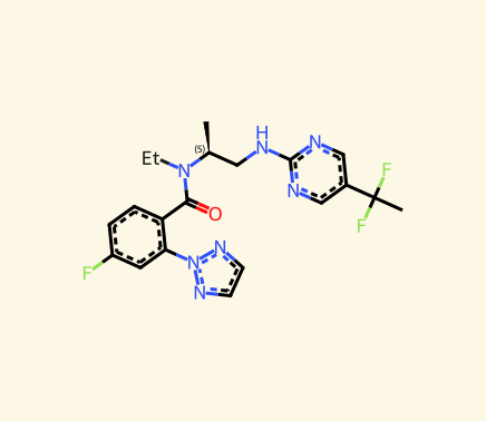 CCN(C(=O)c1ccc(F)cc1-n1nccn1)[C@@H](C)CNc1ncc(C(C)(F)F)cn1